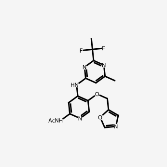 CC(=O)Nc1cc(Nc2cc(C)nc(C(C)(F)F)n2)c(OCc2cnco2)cn1